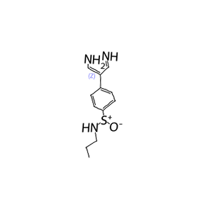 CCCN[S+]([O-])c1ccc(/C(C=N)=C/N)cc1